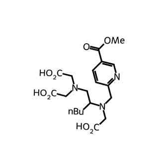 CCCCC(CN(CC(=O)O)CC(=O)O)N(CC(=O)O)Cc1ccc(C(=O)OC)cn1